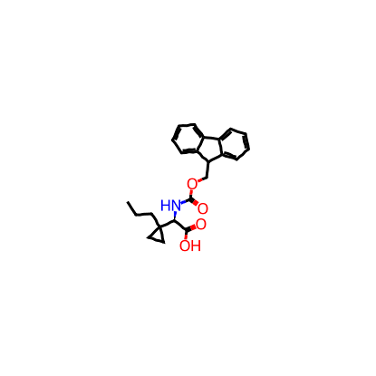 CCCC1([C@@H](NC(=O)OCC2c3ccccc3-c3ccccc32)C(=O)O)CC1